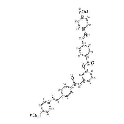 CCCCCCCCc1ccc(/N=C/c2ccc(C(=O)Oc3cccc(OC(=O)c4ccc(/C=N/c5ccc(CCCCCCCC)cc5)cc4)c3)cc2)cc1